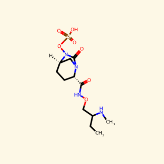 CCC(CONC(=O)[C@@H]1CC[C@@H]2CN1C(=O)N2OS(=O)(=O)O)NC